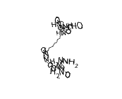 NC(N)=C(/C=C(\N)c1ccccc1)N1CC(Oc2ccc(CN3CCN(C(=O)CCCCCCCCCNc4cccc(C=O)c4C(=O)NC4CCC(=O)NC4=O)CC3)cc2)C1